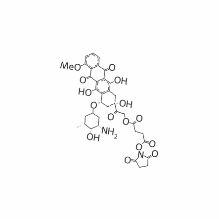 COc1cccc2c1C(=O)c1c(O)c3c(c(O)c1C2=O)C[C@@](O)(C(=O)COC(=O)CCC(=O)ON1C(=O)CCC1=O)C[C@@H]3OC1C[C@@H](C)[C@@H](O)[C@@H](N)C1